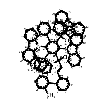 Cc1ccccc1-c1ccccc1/C=C/C(C)(C)c1c(-c2ccccc2F)c(-n2c3ccccc3c3ccc4sc5ccccc5c4c32)c(-c2ccccc2F)c(C(C)(C)n2c3ccccc3c3ccccc32)c1-n1c2ccccc2c2ccc3sc4ccccc4c3c21